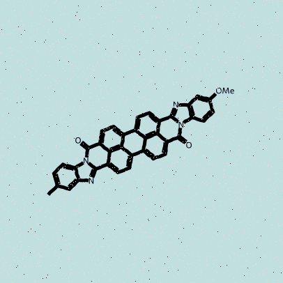 COc1ccc2c(c1)nc1c3ccc4c5ccc6c(=O)n7c8ccc(C)cc8nc7c7ccc(c8ccc(c(=O)n21)c3c84)c5c67